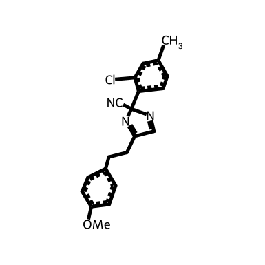 COc1ccc(CCC2=NC(C#N)(c3ccc(C)cc3Cl)N=C2)cc1